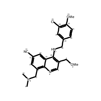 COCc1cnc2c(CN(C)C)cc(C#N)cc2c1NCc1ccc(OC)c(Cl)c1